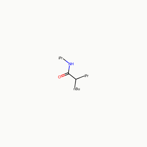 CCCCC(C(=O)NC(C)C)C(C)C